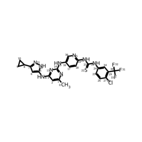 Cc1cc(Nc2cc(C3CC3)n[nH]2)nc(Nc2ccc(NC(=S)Nc3ccc(Cl)c(C(F)(F)F)c3)nc2)n1